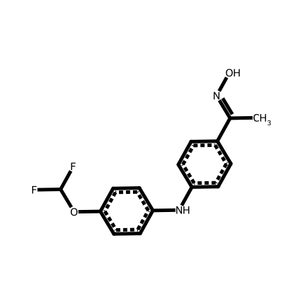 CC(=NO)c1ccc(Nc2ccc(OC(F)F)cc2)cc1